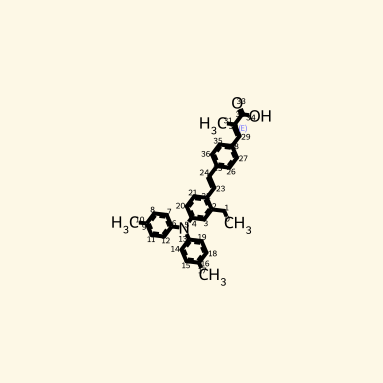 CCc1cc(N(c2ccc(C)cc2)c2ccc(C)cc2)ccc1C=Cc1ccc(/C=C(\C)C(=O)O)cc1